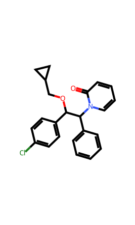 O=c1ccccn1C(c1ccccc1)C(OCC1CC1)c1ccc(Cl)cc1